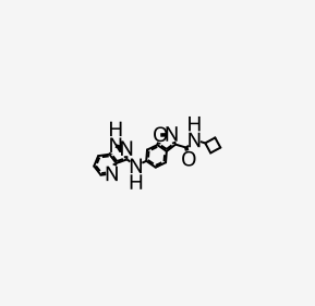 O=C(NC1CCC1)c1noc2cc(Nc3n[nH]c4cccnc34)ccc12